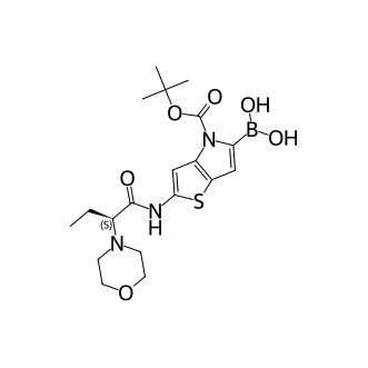 CC[C@@H](C(=O)Nc1cc2c(cc(B(O)O)n2C(=O)OC(C)(C)C)s1)N1CCOCC1